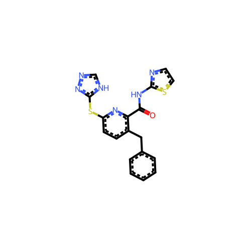 O=C(Nc1nccs1)c1nc(Sc2nnc[nH]2)ccc1Cc1ccccc1